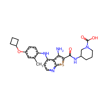 Cc1cc(OC2CCC2)ccc1Nc1ccnc2sc(C(=O)NC3CCCN(C(=O)O)C3)c(N)c12